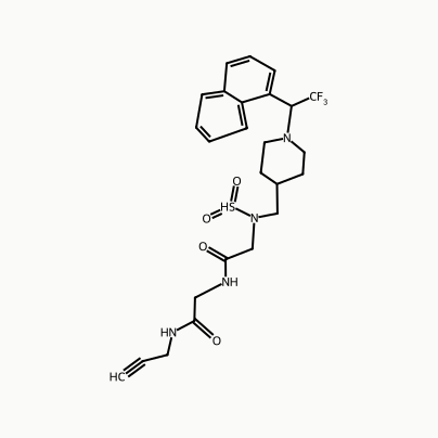 C#CCNC(=O)CNC(=O)CN(CC1CCN(C(c2cccc3ccccc23)C(F)(F)F)CC1)[SH](=O)=O